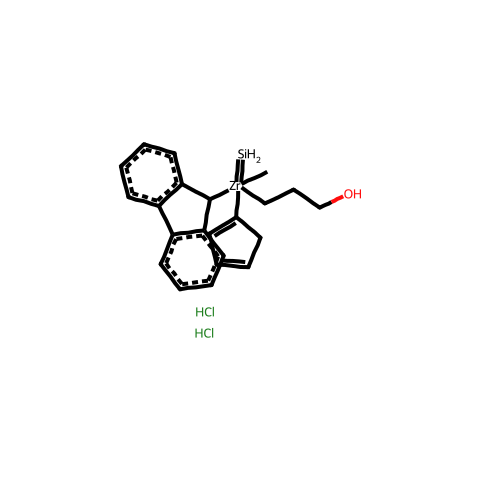 Cl.Cl.[CH3][Zr](=[SiH2])([CH2]CCO)([C]1=CC=CC1)[CH]1c2ccccc2-c2ccccc21